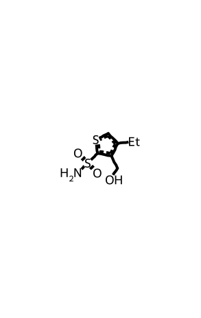 CCc1csc(S(N)(=O)=O)c1CO